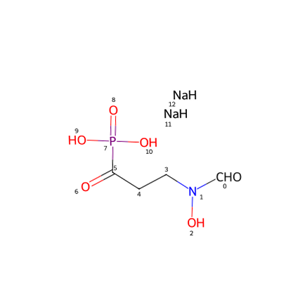 O=CN(O)CCC(=O)P(=O)(O)O.[NaH].[NaH]